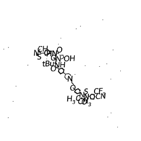 Cc1ncsc1-c1ccc(CNC(=O)[C@@H]2C[C@@H](O)CN2C(=O)C(NC(=O)c2ccc(C3CCN(CCCOc4ccc(N5C(=S)N(c6ccc(C#N)c(C(F)(F)F)c6)C(=O)C5(C)C)cc4)CC3)cc2)C(C)(C)C)cc1